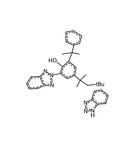 CC(C)(C)CC(C)(C)c1cc(-n2nc3ccccc3n2)c(O)c(C(C)(C)c2ccccc2)c1.c1ccc2[nH]nnc2c1